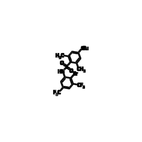 Cc1cc(C(C)(C)C)cc(C)c1S(=O)(=O)Nc1cc(C(F)(F)F)cc(C(F)(F)F)c1Br